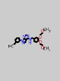 C#Cc1cccc(-n2ncc3c(NCc4ccc(OCCOC)c(OCCOC)c4)ncnc32)c1